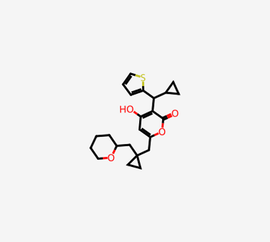 O=c1oc(CC2(CC3CCCCO3)CC2)cc(O)c1C(c1cccs1)C1CC1